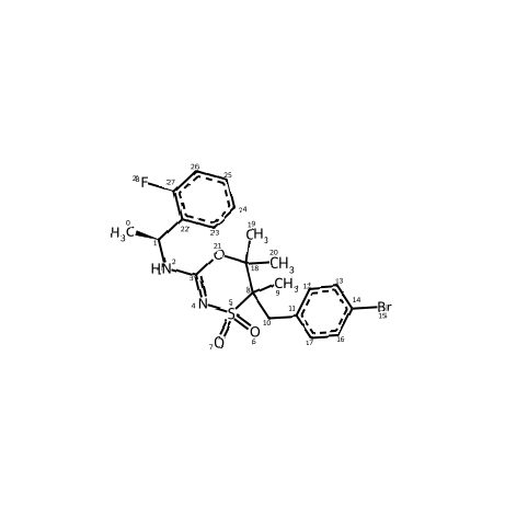 C[C@H](NC1=NS(=O)(=O)C(C)(Cc2ccc(Br)cc2)C(C)(C)O1)c1ccccc1F